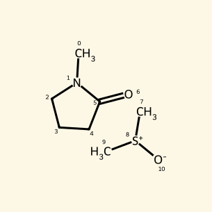 CN1CCCC1=O.C[S+](C)[O-]